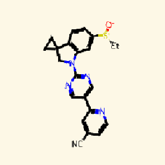 CC[S@@+]([O-])c1ccc2c(c1)N(c1ncc(-c3cc(C#N)ccn3)cn1)CC21CC1